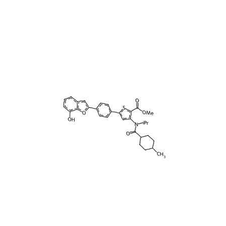 COC(=O)c1sc(-c2ccc(-c3cc4cccc(O)c4o3)cc2)cc1N(C(=O)C1CCC(C)CC1)C(C)C